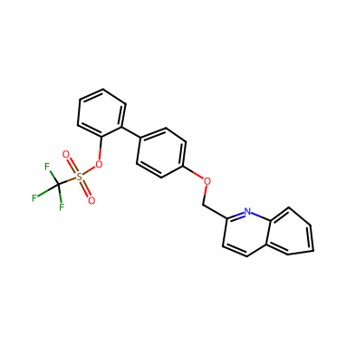 O=S(=O)(Oc1ccccc1-c1ccc(OCc2ccc3ccccc3n2)cc1)C(F)(F)F